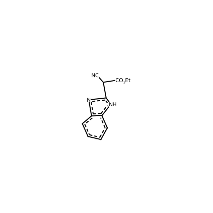 CCOC(=O)C(C#N)c1nc2ccccc2[nH]1